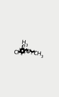 CCCCOCc1ccc(Cl)cc1C